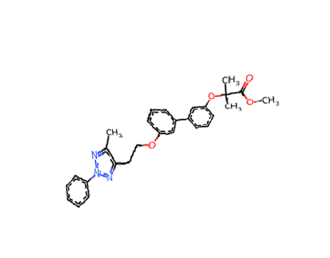 COC(=O)C(C)(C)Oc1cccc(-c2cccc(OCCc3nn(-c4ccccc4)nc3C)c2)c1